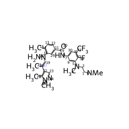 CNCCN(C)c1cc(NC(=O)c2ccc(C)c(N(N)/C=C(\C)c3cnn(C)c3C)c2)cc(C(F)(F)F)c1F